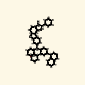 c1ccc(-c2cc(-c3cccc4ccccc34)ccc2N(c2ccccc2)c2ccc3c(c2)oc2ccc4c(c23)SC(c2ccccc2)N4)cc1